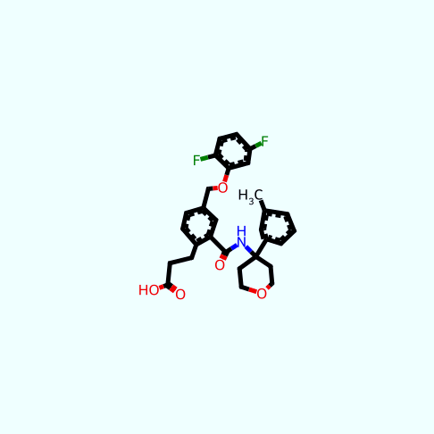 Cc1cccc(C2(NC(=O)c3cc(COc4cc(F)ccc4F)ccc3CCC(=O)O)CCOCC2)c1